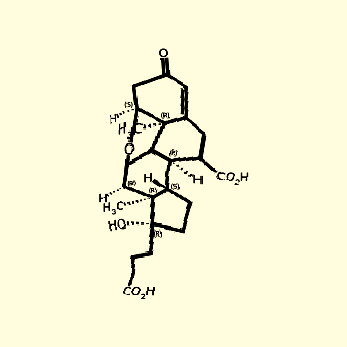 C[C@]12[C@H]3CC4[C@@H](C(C(=O)O)CC5=CC(=O)C[C@H](O3)[C@@]54C)[C@@H]1CC[C@@]2(O)CCC(=O)O